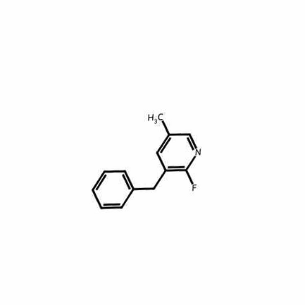 Cc1cnc(F)c(Cc2ccccc2)c1